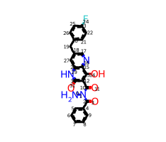 NN(C(=O)c1ccccc1)C(=O)c1c(O)c2ncc(Cc3ccc(F)cc3)cc2[nH]c1=O